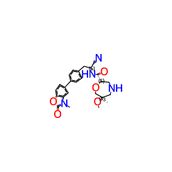 CO[C@]1(C)CNC[C@@H](C(=O)N[C@H](C#N)Cc2ccc(-c3ccc4oc(=O)n(C)c4c3)cc2)OC1